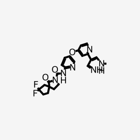 CN/C=C(\C=N)c1cc(Oc2ccc(NC(=O)N3CCC4(CCC(F)(F)C4)C3=O)nc2)ccn1